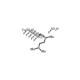 CC(C)(C)N(CCN(C(C)(C)C)C(C)(C)C)C(C)(C)C.O=S(=O)(O)F.O=S(=O)(O)F.O=S(=O)(O)F.O=S(=O)(O)F.O=S(=O)(O)F.O=S(=O)(O)F.[Cu]